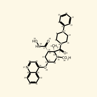 C[C@@]1(C(=O)N2CCN(c3ccccc3)CC2)[C@@H](C(=O)NO)C[C@H](Oc2ccnc3ccccc23)CN1C(=O)O